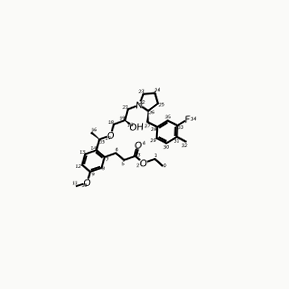 CCOC(=O)CCc1cc(OC)ccc1[C@@H](C)OC[C@H](O)CN1CCC[C@H]1Cc1ccc(C)c(F)c1